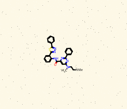 CNCCN(C)c1cc(C(=O)Nc2ccccc2-c2nnc(-c3ccccc3)s2)nc(-c2ccccc2)n1